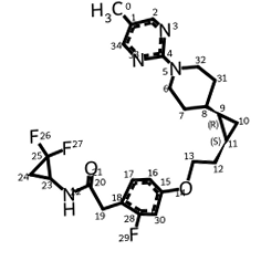 Cc1cnc(N2CCC([C@H]3C[C@H]3CCOc3ccc(CC(=O)NC4CC4(F)F)c(F)c3)CC2)nc1